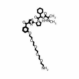 CNC(C)C(=O)NC(C(=O)N1CCC[C@H]1c1nc(C(=O)c2cccc(OCCOCCOCCOCCOCCN)c2)cs1)C1CCCCC1